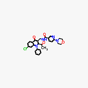 CC(=O)c1c(CNC(=O)c2ccc(N3CCOCC3)nc2)c(=O)c2ccc(Cl)cc2n1-c1ccccc1